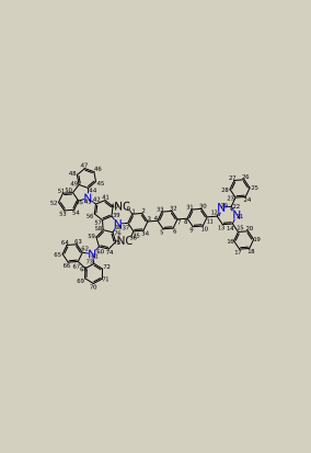 N#Cc1cc(-c2ccc(-c3ccc(-c4cc(-c5ccccc5)nc(-c5ccccc5)n4)cc3)cc2)cc(C#N)c1-n1c2ccc(-n3c4ccccc4c4ccccc43)cc2c2cc(-n3c4ccccc4c4ccccc43)ccc21